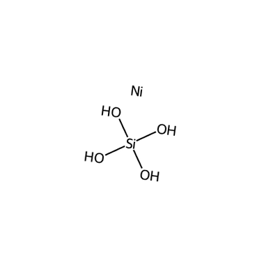 O[Si](O)(O)O.[Ni]